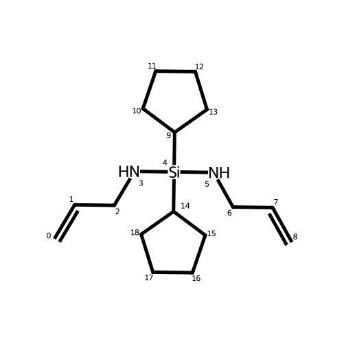 C=CCN[Si](NCC=C)(C1CCCC1)C1CCCC1